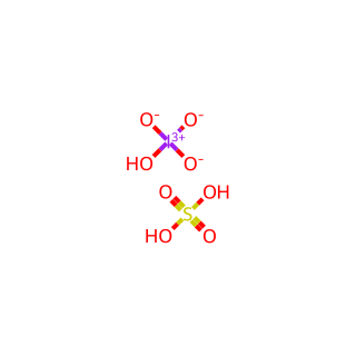 O=S(=O)(O)O.[O-][I+3]([O-])([O-])O